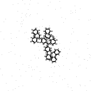 c1ccc(-c2ccccc2-n2c3ccccc3c3ccc(N(c4ccc(-c5cc6ccccc6c6ccccc56)cc4)c4cccc5sc6c7ccccc7ccc6c45)cc32)cc1